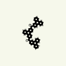 O=C(c1ccc2c3ccccc3c3ccccc3c2c1)c1ccc2c3ccc(C(=O)c4ccc5c6ccccc6c6ccccc6c5c4)cc3c3ccccc3c2c1